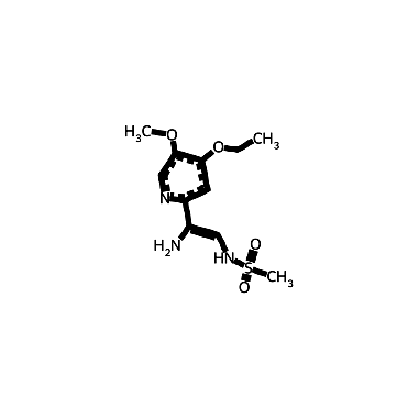 CCOc1cc(/C(N)=C/NS(C)(=O)=O)ncc1OC